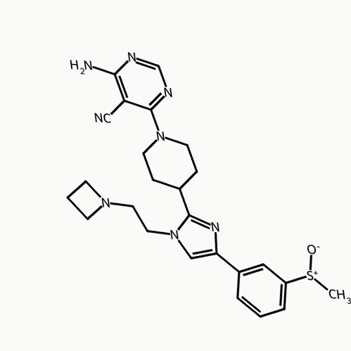 C[S+]([O-])c1cccc(-c2cn(CCN3CCC3)c(C3CCN(c4ncnc(N)c4C#N)CC3)n2)c1